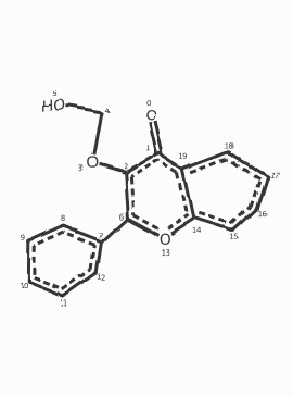 O=c1c(OCO)c(-c2ccccc2)oc2ccccc12